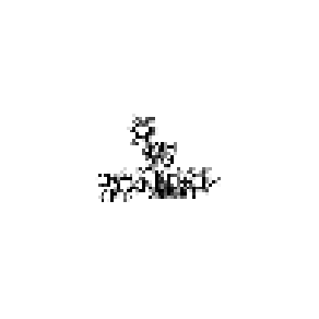 CN1CCC(N2CCN(C3(CC=O)CC(n4nc(-c5ccccc5)[nH]c4=O)CC[N@+]3(Cc3ccc(Cl)c(Cl)c3)C(=O)[O-])CC2)CC1